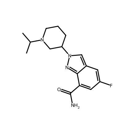 CC(C)N1CCCC(n2cc3cc(F)cc(C(N)=O)c3n2)C1